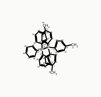 Cc1ccc([PH](c2ccc(C)cc2)(c2ccc(C)cc2)[PH](c2ccccc2)(c2ccccc2)c2ccccc2)cc1